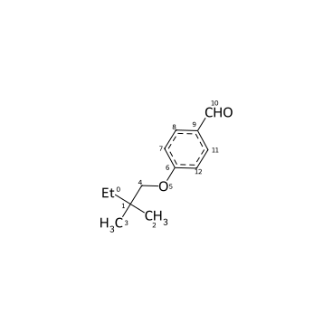 CCC(C)(C)COc1ccc(C=O)cc1